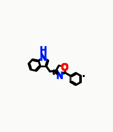 [c]1cccc(C2=N[C@@H](Cc3c[nH]c4ccccc34)CO2)c1